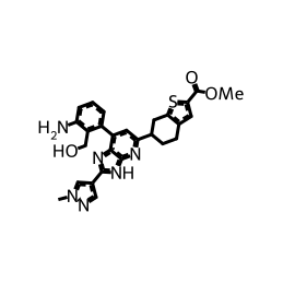 COC(=O)c1cc2c(s1)CC(c1cc(-c3cccc(N)c3CO)c3nc(-c4cnn(C)c4)[nH]c3n1)CC2